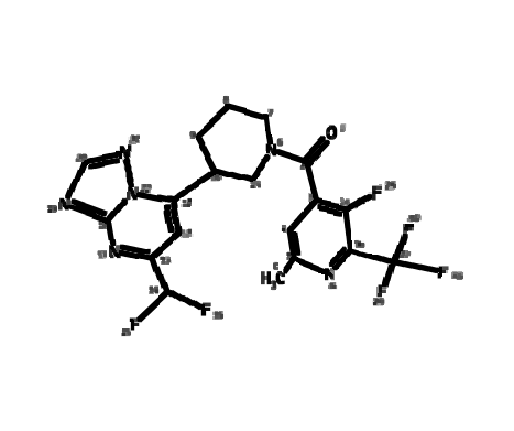 Cc1cc(C(=O)N2CCCC(c3cc(C(F)F)nc4ncnn34)C2)c(F)c(C(F)(F)F)n1